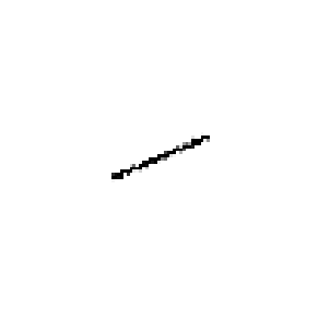 [CH2]CCCCCCCCCCCCCCCCCC/C=C/CC